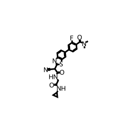 CN(C)C(=O)c1ccc(-c2ccc3nc(C(C#N)C(=O)NCC(=O)NC4CC4)sc3c2)cc1F